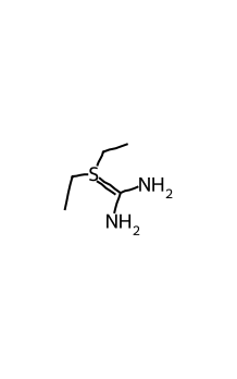 CCS(CC)=C(N)N